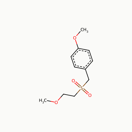 COCCS(=O)(=O)Cc1ccc(OC)cc1